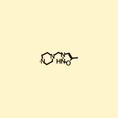 CC1=CN(CN2CC[N]CC2)NO1